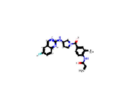 C=CC(=O)Nc1ccc(C(=O)N2CCC(Nc3ncc4cc(F)ccc4n3)C2)cc1C